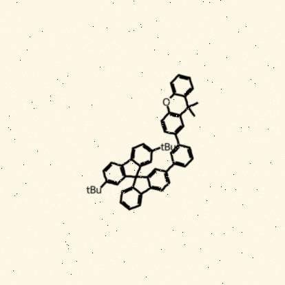 CC(C)(C)c1ccc2c(c1)C1(c3ccccc3-c3ccc(-c4cccc(-c5ccc6c(c5)C(C)(C)c5ccccc5O6)c4)cc31)c1cc(C(C)(C)C)ccc1-2